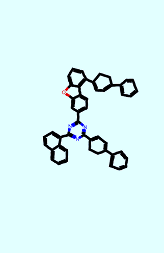 C1=C(c2ccccc2)CCC(c2nc(-c3ccc4c(c3)oc3cccc(C5=CC=C(c6ccccc6)CC5)c34)nc(-c3cccc4ccccc34)n2)=C1